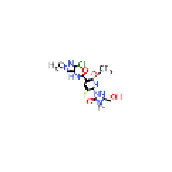 CCn1c(CO)nn(-c2nc(OCC(F)(F)F)c(C(=O)Nc3cn(C)nc3Cl)cc2F)c1=O